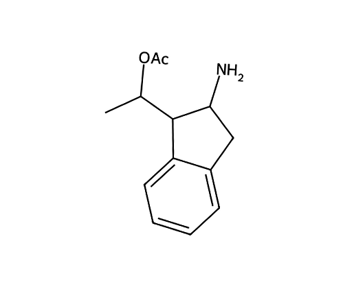 CC(=O)OC(C)C1c2ccccc2CC1N